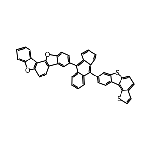 c1ccc2c(c1)oc1ccc3c4cc(-c5c6ccccc6c(-c6ccc7c(c6)sc6ccc8ccsc8c67)c6ccccc56)ccc4oc3c12